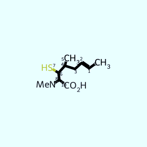 CC=CCC(C)C(S)C(NC)C(=O)O